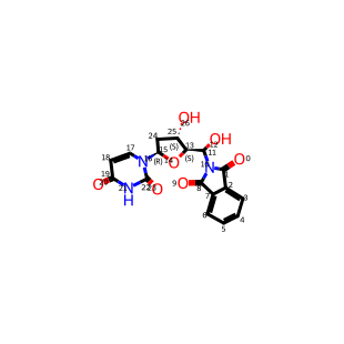 O=C1c2ccccc2C(=O)N1C(O)[C@H]1O[C@@H](n2ccc(=O)[nH]c2=O)C[C@@H]1O